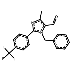 Cc1nc(-c2ccc(C(F)(F)F)cc2)n(Cc2ccccc2)c1C=O